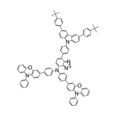 CC(C)(C)c1ccc(-c2ccc3c(c2)c2cc(-c4ccc(C(C)(C)C)cc4)ccc2n3-c2ccc(-c3ccc(N(c4ccc(-c5ccc6c(c5)Oc5ccccc5N6c5ccccc5)cc4)c4ccc(-c5ccc6c(c5)Oc5ccccc5N6c5ccccc5)cc4)c4nsnc34)cc2)cc1